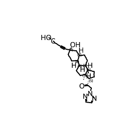 C[C@]12CC[C@H]3[C@@H](CC[C@@H]4C[C@@](O)(C#CCCO)CC[C@@H]43)[C@@H]1CC[C@@H]2C(=O)Cn1nccn1